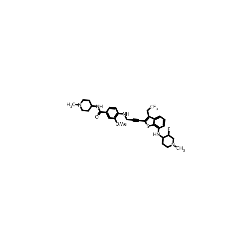 COc1cc(C(=O)NC2CCN(C)CC2)ccc1NCC#Cc1sc2c(NC3CCN(C)CC3F)cccc2c1CC(F)(F)F